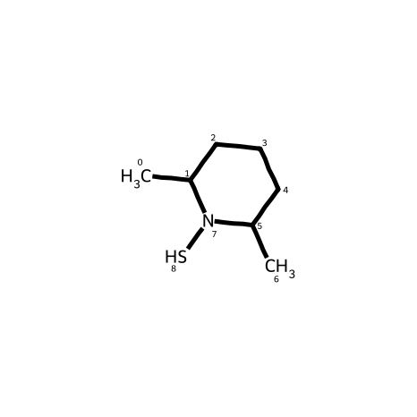 CC1CCCC(C)N1S